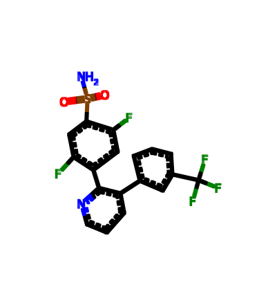 NS(=O)(=O)c1cc(F)c(-c2ncccc2-c2cccc(C(F)(F)F)c2)cc1F